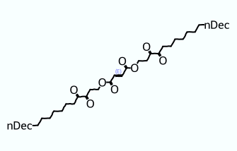 CCCCCCCCCCCCCCCCCC(=O)C(=O)CCOC(=O)/C=C/C(=O)OCCC(=O)C(=O)CCCCCCCCCCCCCCCCC